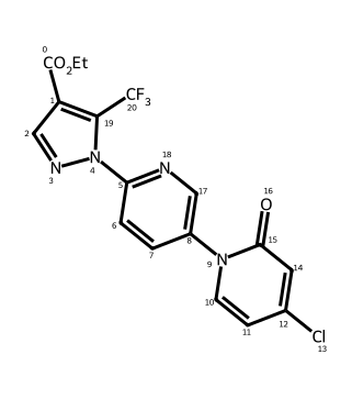 CCOC(=O)c1cnn(-c2ccc(-n3ccc(Cl)cc3=O)cn2)c1C(F)(F)F